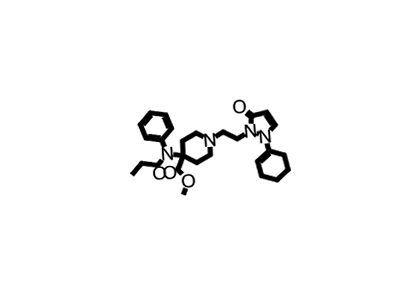 CCC(=O)N(c1ccccc1)C1(C(=O)OC)CCN(CCn2c(=O)ccn2C2=CCCCC2)CC1